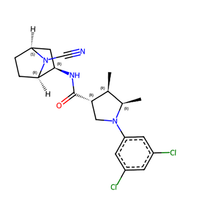 C[C@@H]1[C@@H](C(=O)N[C@@H]2C[C@@H]3CC[C@H]2N3C#N)CN(c2cc(Cl)cc(Cl)c2)[C@@H]1C